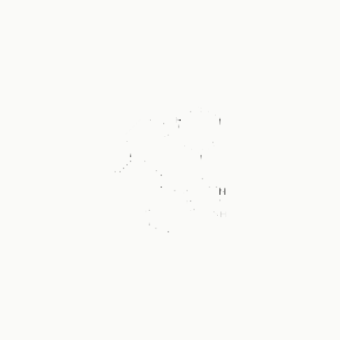 C=c1cccc/c1=C(/C=C\C)c1c[nH]nc1-c1cccnc1